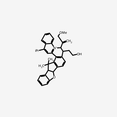 C=C(COC)C1C(CCO)c2ccc3c(c2-c2cc(C(C)C)c4ccccc4[n+]21)C(C)(C)C1c2ccccc2OC31